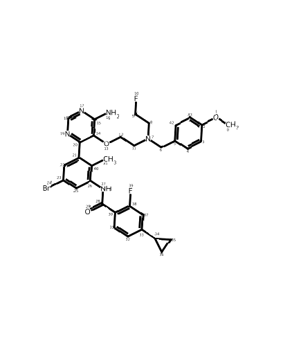 COc1ccc(CN(CCF)CCOc2c(N)ncnc2-c2cc(Br)cc(NC(=O)c3ccc(C4CC4)cc3F)c2C)cc1